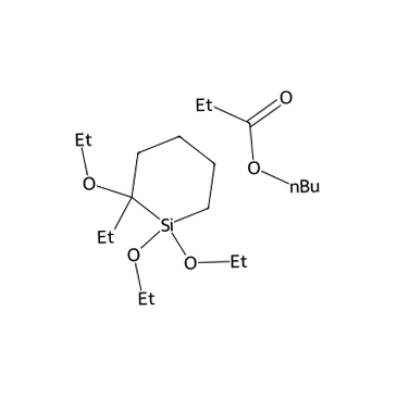 CCCCOC(=O)CC.CCOC1(CC)CCCC[Si]1(OCC)OCC